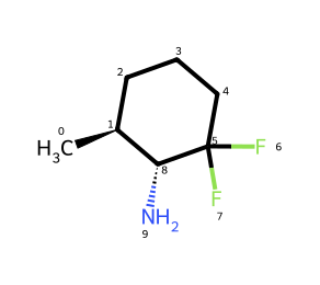 C[C@H]1CCCC(F)(F)[C@@H]1N